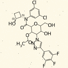 CC(=O)OC1C(C(=O)N(c2cc(Cl)cc(Cl)c2)[C@H]2CC[C@@H]2O)OC(CO)C(O)C1n1cc(-c2cc(F)c(F)c(F)c2)nn1